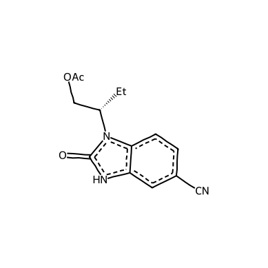 CC[C@@H](COC(C)=O)n1c(=O)[nH]c2cc(C#N)ccc21